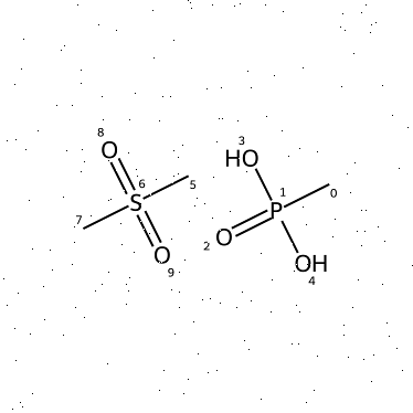 CP(=O)(O)O.CS(C)(=O)=O